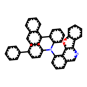 c1ccc(-c2ccc(N(c3ccccc3-c3cccc4ccccc34)c3cccc4cnc5c6ccccc6oc5c34)cc2)cc1